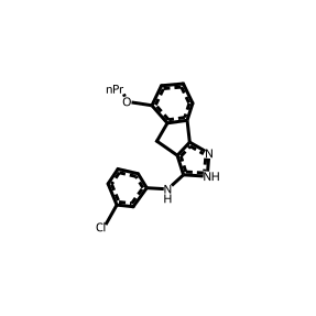 CCCOc1cccc2c1Cc1c-2n[nH]c1Nc1cccc(Cl)c1